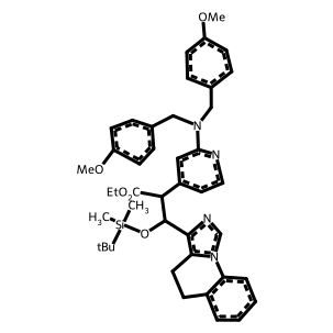 CCOC(=O)C(c1ccnc(N(Cc2ccc(OC)cc2)Cc2ccc(OC)cc2)c1)C(O[Si](C)(C)C(C)(C)C)c1ncn2c1CCc1ccccc1-2